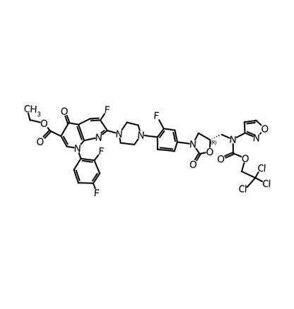 CCOC(=O)c1cn(-c2ccc(F)cc2F)c2nc(N3CCN(c4ccc(N5C[C@H](CN(C(=O)OCC(Cl)(Cl)Cl)c6ccon6)OC5=O)cc4F)CC3)c(F)cc2c1=O